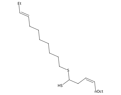 CCC=CCCCCCCCSC(S)C/C=C\CCCCCCCC